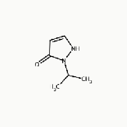 CC(C)n1[nH]ccc1=O